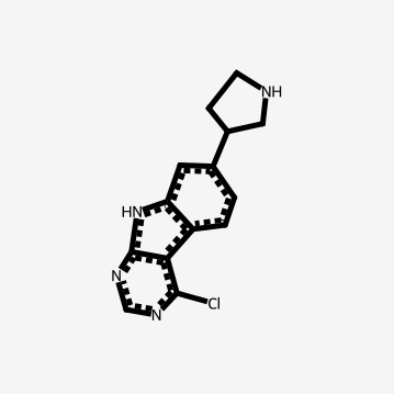 Clc1ncnc2[nH]c3cc(C4CCNC4)ccc3c12